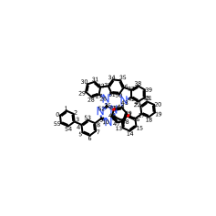 c1ccc(-c2cccc(-c3nc(-c4cccc(-c5ccccc5)c4)nc(-n4c5ccccc5c5ccc6c7ccccc7n(-c7ccccc7)c6c54)n3)c2)cc1